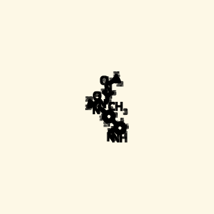 Cc1cc(-c2cccc3[nH]ncc23)ccc1C1=NC2(CC2)C(=O)N1CC1CN(C(=O)C2CC2)C1